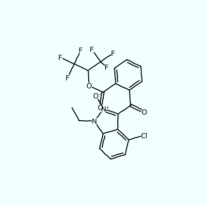 CCn1c2cccc(Cl)c2c(C(=O)c2ccccc2C(=O)OC(C(F)(F)F)C(F)(F)F)[n+]1[O-]